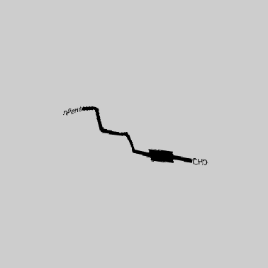 CCCCCCCCCC#C[C]=O